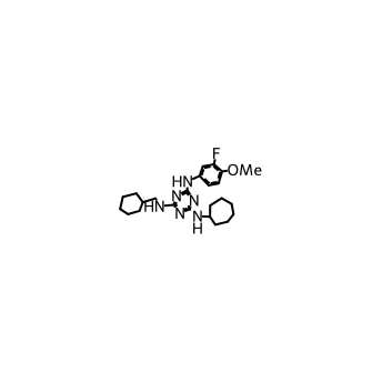 COc1ccc(Nc2nc(NCC3CCCCC3)nc(NC3CCCCCC3)n2)cc1F